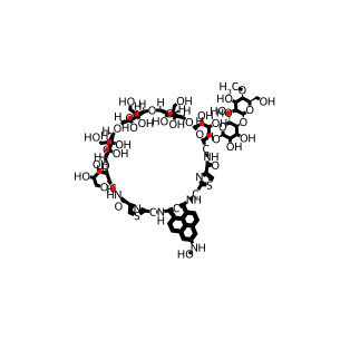 CO[C@H]1C(O)C(O)[C@@H](O[C@H]2C(O)C(O)[C@@H](O[C@H]3C(O)C(O)[C@@H]4O[C@@H]3CNC(=O)c3csc(n3)CNc3cc(c5ccc6cc(NO)cc7ccc3c5c67)NCc3nc(cs3)C(=O)NC[C@H]3OCC(O)C(O)[C@@H]3O[C@H]3O[C@H](CO)[C@@H](O[C@H]5O[C@H](CO)[C@@H](O[C@H]6O[C@H](CO)[C@@H](O4)C(O)C6O)C(O)C5O)C(O)C3O)O[C@@H]2CO)O[C@@H]1CO